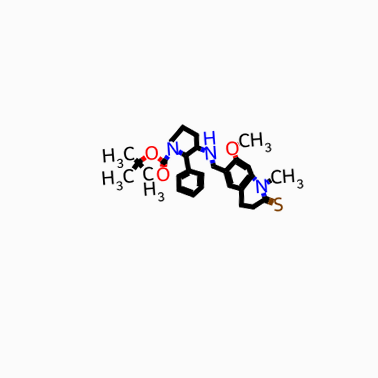 COc1cc2c(cc1CNC1CCCN(C(=O)OC(C)(C)C)C1c1ccccc1)CCC(=S)N2C